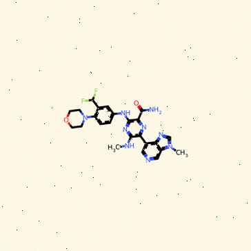 CNc1nc(Nc2ccc(N3CCOCC3)c(C(F)F)c2)c(C(N)=O)nc1-c1cncc2c1ncn2C